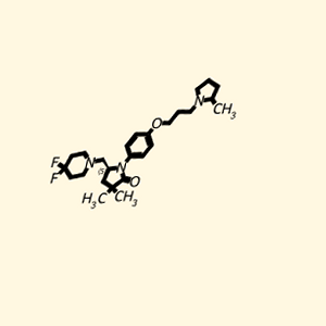 CC1CCCN1CCCOc1ccc(N2C(=O)C(C)(C)C[C@H]2CN2CCC(F)(F)CC2)cc1